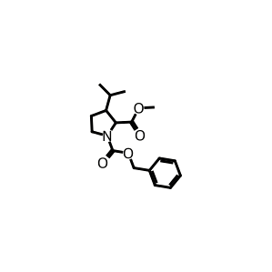 COC(=O)C1C(C(C)C)CCN1C(=O)OCc1ccccc1